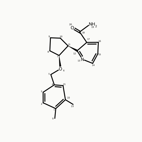 Cc1ccc(CO[C@H]2CCC[C@H]2c2ncccc2C(N)=O)cc1C